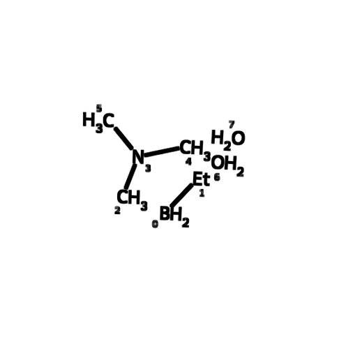 BCC.CN(C)C.O.O